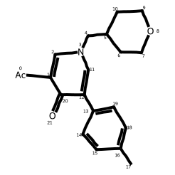 CC(=O)c1cn(CC2CCOCC2)cc(-c2ccc(C)cc2)c1=O